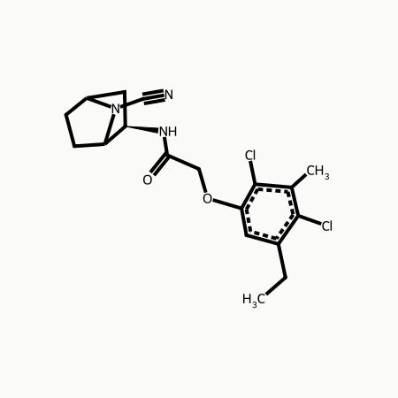 CCc1cc(OCC(=O)N[C@@H]2CC3CCC2N3C#N)c(Cl)c(C)c1Cl